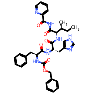 CC[C@H](C)[C@H](NC(=O)[C@H](Cc1c[nH]cn1)NC(=O)[C@H](Cc1ccccc1)NC(=O)OCc1ccccc1)C(=O)NC(=O)c1ccccn1